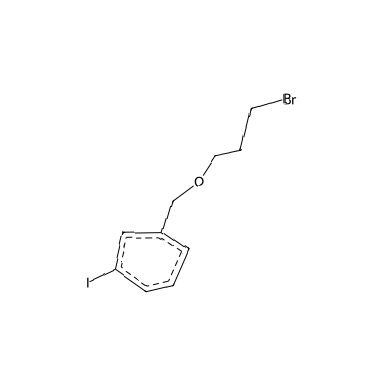 BrCCCOCc1cccc(I)c1